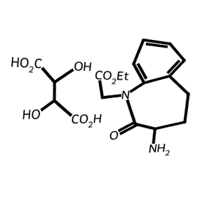 CCOC(=O)CN1C(=O)C(N)CCc2ccccc21.O=C(O)C(O)C(O)C(=O)O